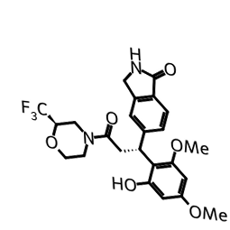 COc1cc(O)c([C@H](CC(=O)N2CCO[C@@H](C(F)(F)F)C2)c2ccc3c(c2)CNC3=O)c(OC)c1